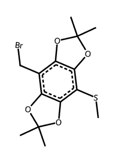 CSc1c2c(c(CBr)c3c1OC(C)(C)O3)OC(C)(C)O2